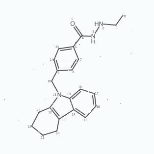 CCNNC(=O)c1ccc(Cn2c3c(c4ccccc42)CCCC3)cc1